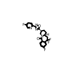 O=C1c2ccc(F)cc2C(F)(F)C[C@@H]2CC[C@H](c3nc(-c4ccc(F)cn4)no3)CN12